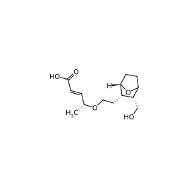 C[C@H](/C=C/C(=O)O)OCC[C@@H]1[C@@H]2CCC(O2)[C@@H]1CO